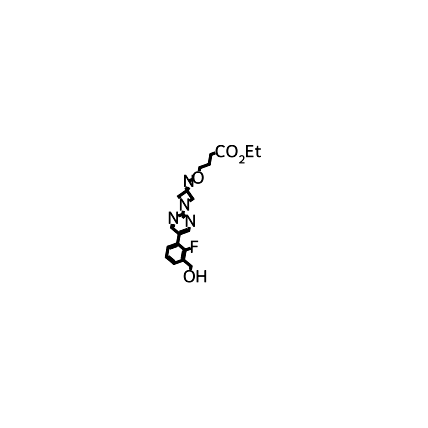 CCOC(=O)CCCON=C1CN(c2ncc(-c3cccc(CO)c3F)cn2)C1